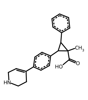 CC1(C(=O)O)C(c2ccccc2)C1c1ccc(C2=CCNCC2)cc1